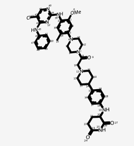 COc1cc(N2CCN(C(=O)CN3CCC(c4ccc(NC5CCC(=O)NC5=O)cc4)CC3)CC2)c(C)cc1Nc1ncc(Cl)c(Nc2ccccc2)n1